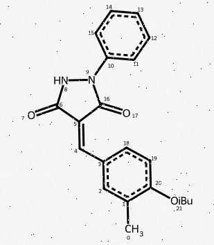 Cc1cc(C=C2C(=O)NN(c3ccccc3)C2=O)ccc1OCC(C)C